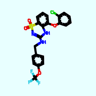 O=S1(=O)N=C(NCc2ccc(OC(F)(F)F)cc2)Nc2c(Oc3ccccc3Cl)cccc21